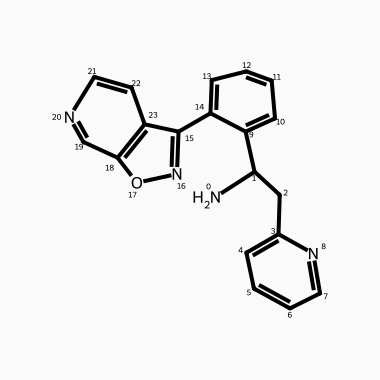 NC(Cc1ccccn1)c1ccccc1-c1noc2cnccc12